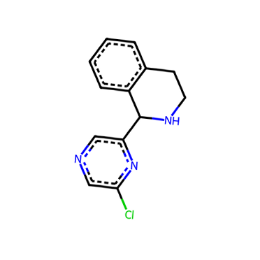 Clc1cncc(C2NCCc3ccccc32)n1